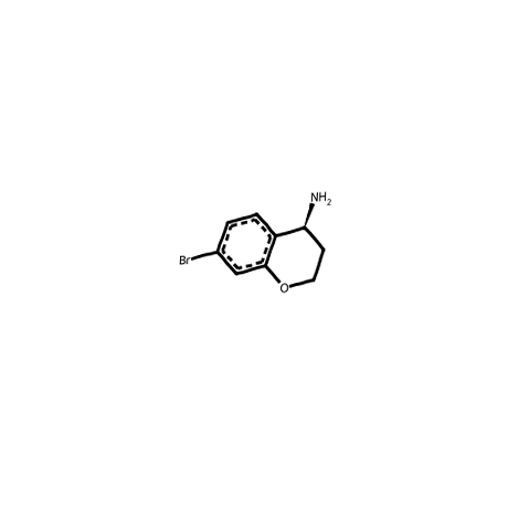 N[C@H]1CCOc2cc(Br)ccc21